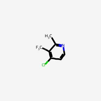 Cc1nccc(Cl)c1C(F)(F)F